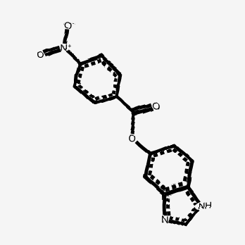 O=C(Oc1ccc2[nH]cnc2c1)c1ccc([N+](=O)[O-])cc1